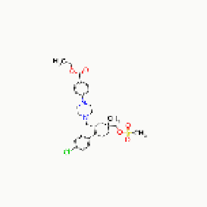 CCOC(=O)c1ccc(N2CCN(CC3=C(c4ccc(Cl)cc4)CCC(C)(COS(C)(=O)=O)C3)CC2)cc1